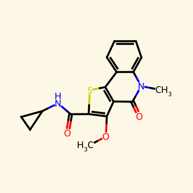 COc1c(C(=O)NC2CC2)sc2c1c(=O)n(C)c1ccccc21